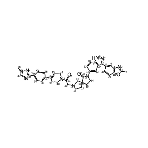 Cc1nc2cc(-c3n[nH]c4ccc(N5CC[C@]6(CCN(CC(=O)N7CC=C(c8ccc(-c9ncn(C)n9)cc8)CC7)C6)C5=O)cc34)ccc2o1